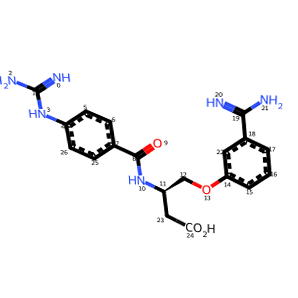 N=C(N)Nc1ccc(C(=O)N[C@@H](COc2cccc(C(=N)N)c2)CC(=O)O)cc1